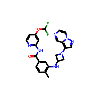 Cc1ccc(C(=O)Nc2cc(OC(F)F)ccn2)cc1NC1CN(c2cnn3ccncc23)C1